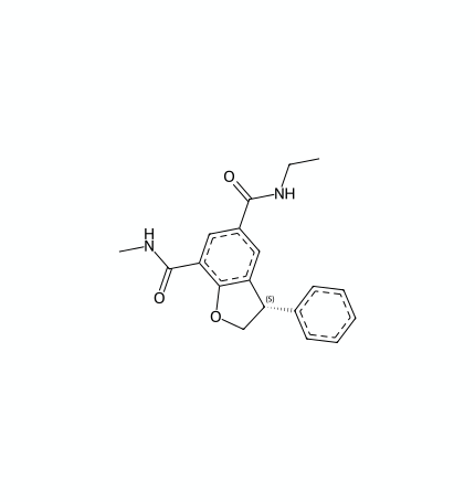 CCNC(=O)c1cc(C(=O)NC)c2c(c1)[C@H](c1ccccc1)CO2